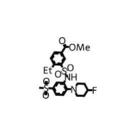 CCc1ccc(C(=O)OC)cc1S(=O)(=O)Nc1cc(S(C)(=O)=O)ccc1N1CCC(F)CC1